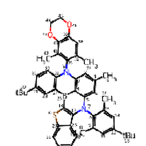 Cc1cc2c3c(c1)N(c1c(C)cc(C(C)(C)C)cc1C)c1c(sc4ccccc14)B3c1cc(C(C)(C)C)ccc1N2c1c(C)cc2c(c1C)OCCO2